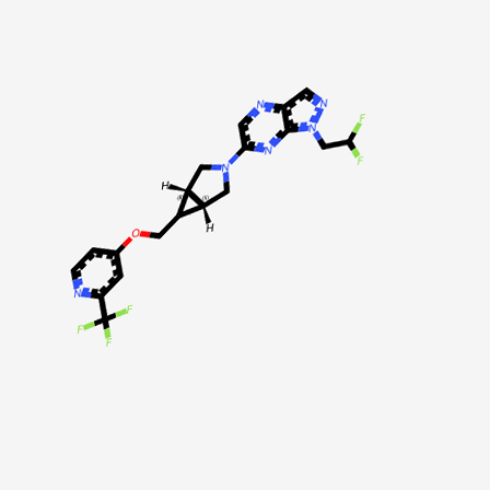 FC(F)Cn1ncc2ncc(N3C[C@@H]4C(COc5ccnc(C(F)(F)F)c5)[C@@H]4C3)nc21